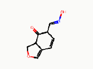 O=C1C(C=NO)C=CC2=COCC12